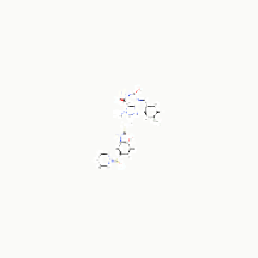 CCn1c(CSc2nc3cc([S+]([O-])N4CCCCC4)ccc3o2)nc2c1c(=O)[nH]c(=O)n2Cc1ccc(Cl)cc1